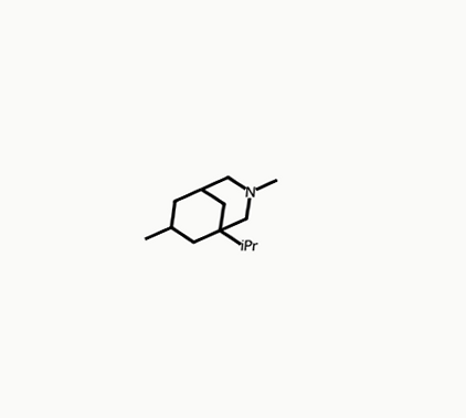 CC1CC2CN(C)CC(C(C)C)(C1)C2